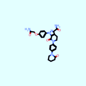 NC(=O)COc1ccc(-n2nc(C(N)=O)c3c2C(=O)N(c2ccc(N4CCCCC4=O)cc2)CC3)cc1